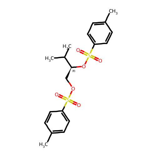 Cc1ccc(S(=O)(=O)OC[C@H](OS(=O)(=O)c2ccc(C)cc2)C(C)C)cc1